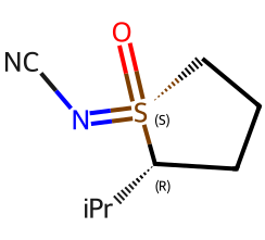 CC(C)[C@H]1CCC[S@@]1(=O)=NC#N